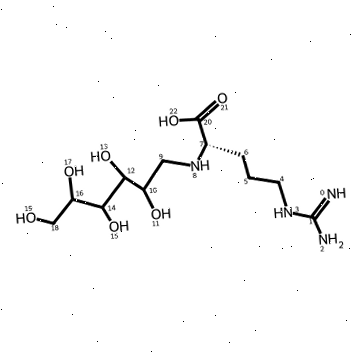 N=C(N)NCCC[C@H](NCC(O)C(O)C(O)C(O)CO)C(=O)O